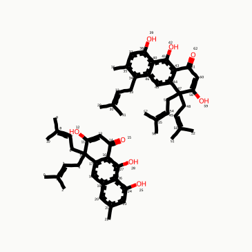 CC(C)=CCC1(CC=C(C)C)C(O)=CC(=O)c2c1cc1cc(C)cc(O)c1c2O.CC(C)=CCc1c(C)cc(O)c2c(O)c3c(cc12)C(CC=C(C)C)(CC=C(C)C)C(O)=CC3=O